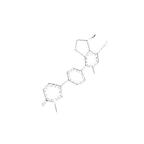 C[C@@H]1CCc2c(-c3ccc(-c4ccc(=O)n(C)c4)cc3)c(C(F)(F)F)cc(F)c21